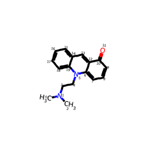 CN(C)CCn1c2cccc(=O)c-2cc2ccccc21